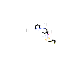 CCOC(=O)c1cc(C#N)c(N2CCC(C)(C(=O)NS(=O)(=O)Cc3ccc(Cl)s3)CC2)nc1C